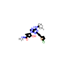 CNC(=O)C12CC1[C@@H](n1cnc3c(NC(C)C)nc(C#Cc4ccc(Cl)s4)nc31)[C@H](O)C2